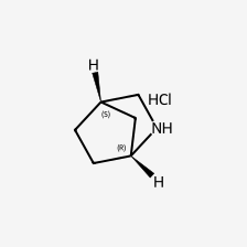 C1C[C@@H]2C[C@H]1CN2.Cl